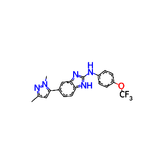 Cc1cc(-c2ccc3[nH]c(Nc4ccc(OC(F)(F)F)cc4)nc3c2)n(C)n1